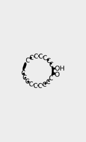 O=C1CCCCCCCCCC=CCCCCCCCC1O